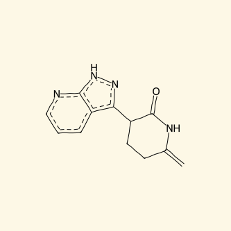 C=C1CCC(c2n[nH]c3ncccc23)C(=O)N1